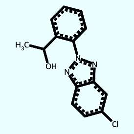 CC(O)c1ccccc1-n1nc2ccc(Cl)cc2n1